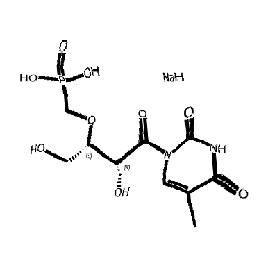 Cc1cn(C(=O)[C@H](O)[C@H](CO)OCP(=O)(O)O)c(=O)[nH]c1=O.[NaH]